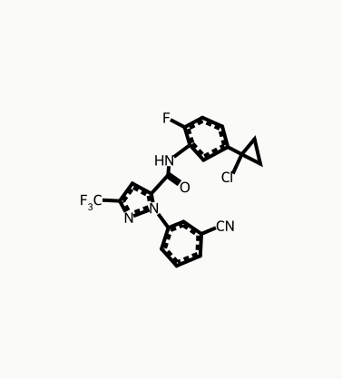 N#Cc1cccc(-n2nc(C(F)(F)F)cc2C(=O)Nc2cc(C3(Cl)CC3)ccc2F)c1